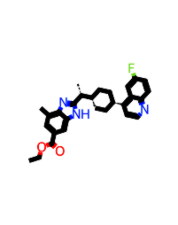 CCOC(=O)c1cc(C)c2nc([C@H](C)[C@H]3CC[C@@H](c4ccnc5ccc(F)cc54)CC3)[nH]c2c1